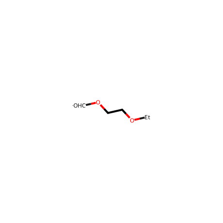 CCOCCO[C]=O